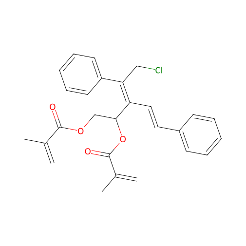 C=C(C)C(=O)OCC(OC(=O)C(=C)C)C(C=Cc1ccccc1)=C(CCl)c1ccccc1